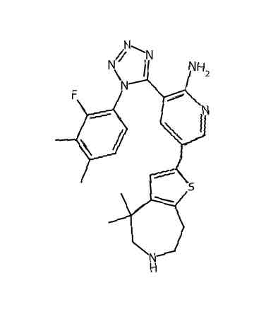 Cc1ccc(-n2nnnc2-c2cc(-c3cc4c(s3)CCNCC4(C)C)cnc2N)c(F)c1C